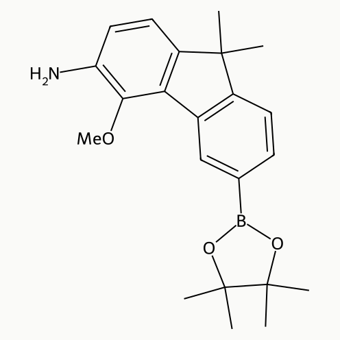 COc1c(N)ccc2c1-c1cc(B3OC(C)(C)C(C)(C)O3)ccc1C2(C)C